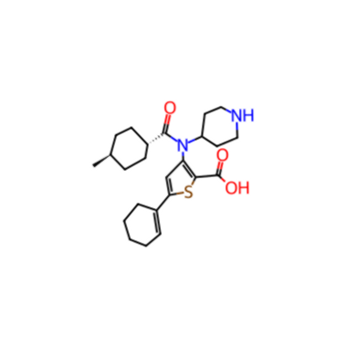 C[C@H]1CC[C@H](C(=O)N(c2cc(C3=CCCCC3)sc2C(=O)O)C2CCNCC2)CC1